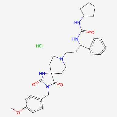 COc1ccc(CN2C(=O)NC3(CCN(CC[C@H](NC(=O)NC4CCCC4)c4ccccc4)CC3)C2=O)cc1.Cl